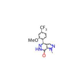 COc1cc(C(F)(F)F)ccc1-c1n[nH]c(=O)c2c1cnn2C